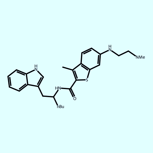 CCCCC(Cc1c[nH]c2ccccc12)NC(=O)c1sc2cc(NCCNC)ccc2c1C